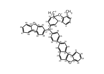 Cc1ccccc1OC1(C)C=CC(N(c2ccc(-c3ccc4c(ccc5oc6ccccc6c54)c3)cc2)c2ccc3c(c2)oc2ccccc23)=CC1